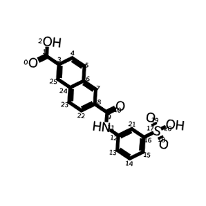 O=C(O)c1ccc2cc(C(=O)Nc3cccc(S(=O)(=O)O)c3)ccc2c1